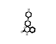 O=C1Nc2ccccc2C2(CCN(C3CCNCC3)CC2)O1